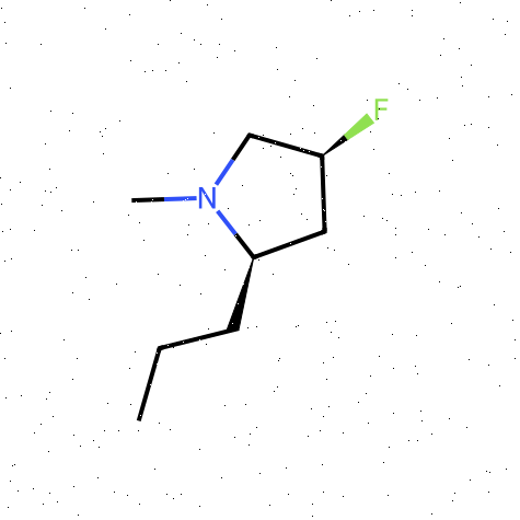 CCC[C@@H]1C[C@H](F)CN1C